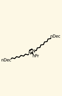 CCCCCCCCCCCCCCCCCCCn1cc[n+](CCCCCCCCCCCCCCCCCC)c1CCC